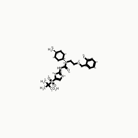 CC(C)(C(=O)O)S(=O)(=O)c1cnc(NC(=O)N(CCOCc2ccccc2F)[C@H]2CC[C@H](C)CC2)s1